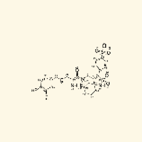 CCN(CC1=C(c2ccc(S(C)(=O)=O)cc2)S(=O)(=O)NC12CCCCC2)C(=O)[C@H](N)COCc1ccc(F)c(F)c1